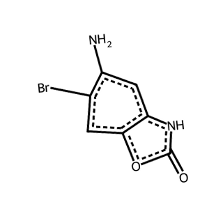 Nc1cc2[nH]c(=O)oc2cc1Br